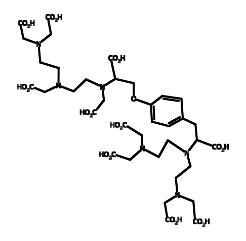 O=C(O)CN(CCN(CC(=O)O)CC(=O)O)CCN(CC(=O)O)C(COc1ccc(CC(C(=O)O)N(CCN(CC(=O)O)CC(=O)O)CCN(CC(=O)O)CC(=O)O)cc1)C(=O)O